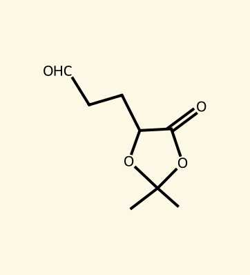 CC1(C)OC(=O)C(CCC=O)O1